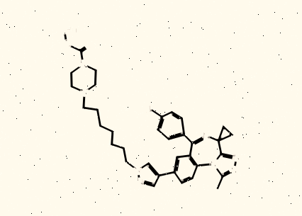 Cc1nnc2n1-c1ccc(-c3cnn(CCCCCCCN4CCN(C(=O)OC(C)(C)C)CC4)c3)cc1C(c1ccc(Cl)cc1)=NC21CC1